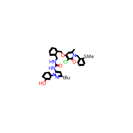 CSc1ccccc1Cn1c(C)cc(OCc2ccccc2CNC(=O)Nc2cc(C(C)(C)C)nn2-c2cccc(O)c2)c(Cl)c1=O